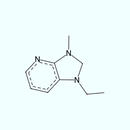 CCN1CN(C)c2ncccc21